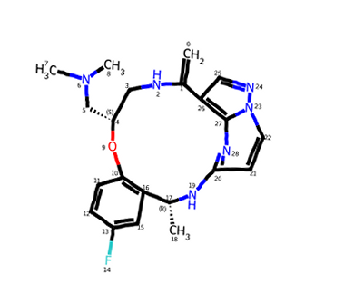 C=C1NC[C@@H](CN(C)C)Oc2ccc(F)cc2[C@@H](C)Nc2ccn3ncc1c3n2